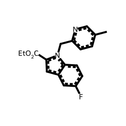 CCOC(=O)c1cc2cc(F)ccc2n1Cc1ccc(C)cn1